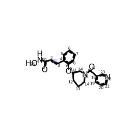 O=C(/C=C/c1ccccc1O[C@H]1CCCN(C(=O)c2cccnc2)C1)NO